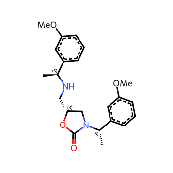 COc1cccc([C@H](C)NC[C@@H]2CN([C@@H](C)c3cccc(OC)c3)C(=O)O2)c1